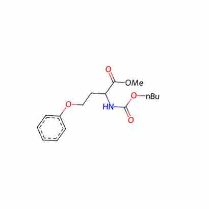 CCCCOC(=O)NC(CCOc1ccccc1)C(=O)OC